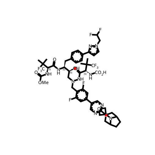 COC(=O)N[C@H](C(=O)N[C@@H](Cc1ccc(-c2ccn(CC(F)F)n2)cc1)[C@@H](O)CN(Cc1c(F)cc(-c2cnc(N3CC4CCC(C3)N4C3COC3)nc2)cc1F)NC(=O)[C@@H](NC(=O)O)C(C)(C)C(F)(F)F)C(C)(C)C(F)(F)F